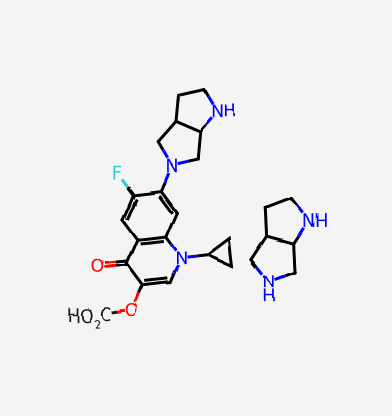 C1CC2CNCC2N1.O=C(O)Oc1cn(C2CC2)c2cc(N3CC4CCNC4C3)c(F)cc2c1=O